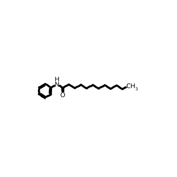 CCCCCCCCCCCC(=O)Nc1c[c]ccc1